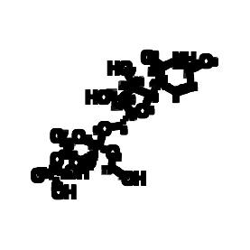 O=c1ccn([C@@H]2O[C@H](COP(=O)(OCO)OP(=O)(O)OP(=O)(O)O)[C@@H](O)[C@H]2O)c(=O)[nH]1